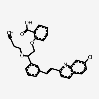 C#CCCOC(COc1ccccc1C(=O)O)c1cccc(/C=C/c2ccc3ccc(Cl)cc3n2)c1